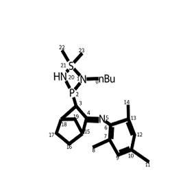 CCCCN1P(C2/C(=N/c3c(C)cc(C)cc3C)C3CCC2C3)NS1(C)C